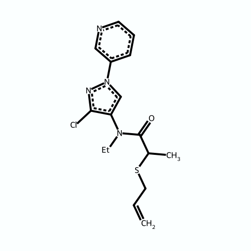 C=CCSC(C)C(=O)N(CC)c1cn(-c2cccnc2)nc1Cl